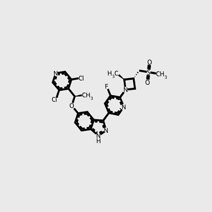 C[C@@H](Oc1ccc2[nH]nc(-c3cnc(N4C[C@@H](CS(C)(=O)=O)[C@@H]4C)c(F)c3)c2c1)c1c(Cl)cncc1Cl